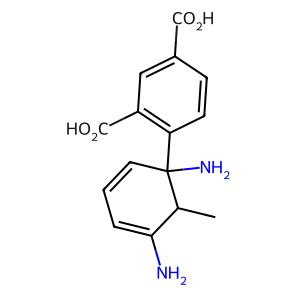 CC1C(N)=CC=CC1(N)c1ccc(C(=O)O)cc1C(=O)O